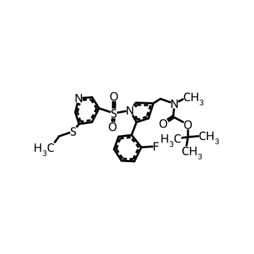 CCSc1cncc(S(=O)(=O)n2cc(CN(C)C(=O)OC(C)(C)C)cc2-c2ccccc2F)c1